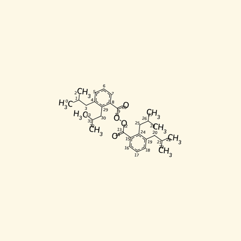 CC(C)Cc1cccc(C(=O)OOC(=O)c2cccc(CC(C)C)c2CC(C)C)c1CC(C)C